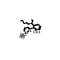 CCCCCC(CC)c1cccc(O)c1-c1cccnn1.Cl.Cl.Cl